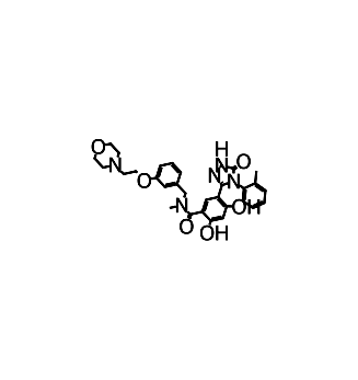 Cc1ccccc1-n1c(-c2cc(C(=O)N(C)Cc3cccc(OCCN4CCOCC4)c3)c(O)cc2O)n[nH]c1=O